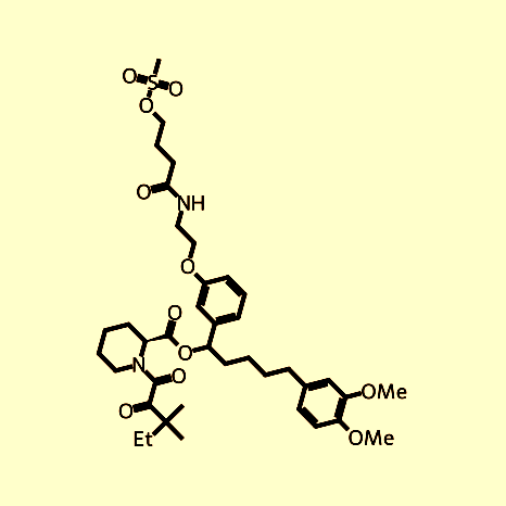 CCC(C)(C)C(=O)C(=O)N1CCCC[C@H]1C(=O)OC(CCCCc1ccc(OC)c(OC)c1)c1cccc(OCCNC(=O)CCCOS(C)(=O)=O)c1